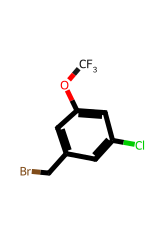 FC(F)(F)Oc1cc(Cl)cc(CBr)c1